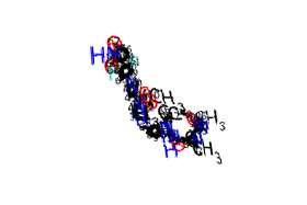 COC[C@@H]1CN(Cc2ccc3c(c2)N2C[C@H](C)CCCOc4c(cnn4C)-c4cc(cc(C)n4)C(=O)/N=C/2N3)CCN1C(=O)[C@@H]1CCN(c2cc(F)c([C@H]3CCC(=O)NC3=O)c(F)c2)C1